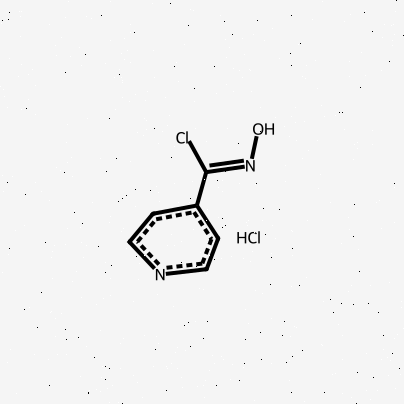 Cl.ON=C(Cl)c1ccncc1